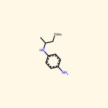 COCC(C)Nc1ccc(N)cc1